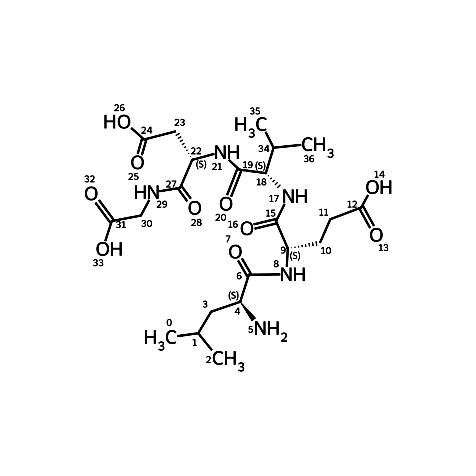 CC(C)C[C@H](N)C(=O)N[C@@H](CCC(=O)O)C(=O)N[C@H](C(=O)N[C@@H](CC(=O)O)C(=O)NCC(=O)O)C(C)C